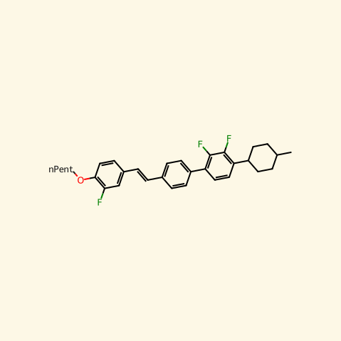 CCCCCOc1ccc(/C=C/c2ccc(-c3ccc(C4CCC(C)CC4)c(F)c3F)cc2)cc1F